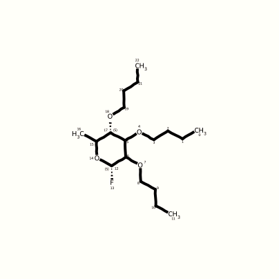 CCCCOC1C(OCCCC)[C@H](F)OC(C)[C@@H]1OCCCC